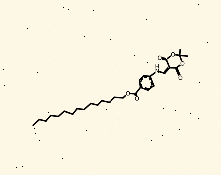 CCCCCCCCCCCCCCCOC(=O)c1ccc(NC=C2C(=O)OC(C)(C)OC2=O)cc1